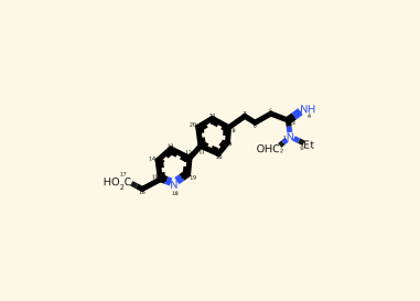 CCN(C=O)C(=N)CCCc1ccc(-c2ccc(CC(=O)O)nc2)cc1